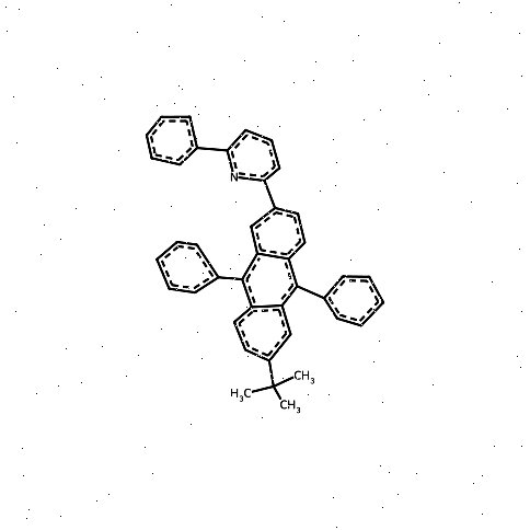 CC(C)(C)c1ccc2c(-c3ccccc3)c3cc(-c4cccc(-c5ccccc5)n4)ccc3c(-c3ccccc3)c2c1